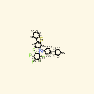 Fc1c(F)c(F)c(N(c2ccc(-c3ccccc3)cc2)c2ccc3c(c2)sc2ccccc23)c(F)c1F